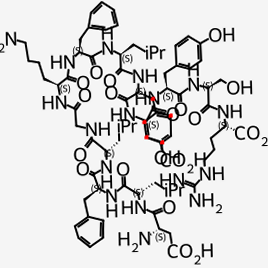 CC(C)C[C@H](NC(=O)[C@H](Cc1ccccc1)NC(=O)[C@H](CC(C)C)NC(=O)[C@@H](N)CC(=O)O)C(=O)NCC(=O)N[C@@H](CCCCN)C(=O)N[C@@H](Cc1ccccc1)C(=O)N[C@@H](CC(C)C)C(=O)N[C@@H](Cc1ccc(O)cc1)C(=O)N[C@@H](CCC(=O)O)C(=O)N[C@@H](Cc1ccc(O)cc1)C(=O)N[C@@H](CO)C(=O)N[C@@H](CCCNC(=N)N)C(=O)O